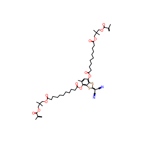 C=C(C)C(=O)OCC(C)(C)COC(=O)CCCCCCCCCC(=O)Oc1cc(C)c(OC(=O)CCCCCCCCCC(=O)OCC(C)(C)COC(=O)C(=C)C)c2c1SC(=C(C#N)C#N)S2